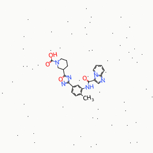 Cc1ccc(-c2noc(C3CCCN(C(=O)O)C3)n2)cc1NC(=O)c1cnc2ccccn12